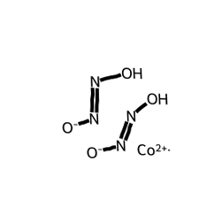 [Co+2].[O-]N=NO.[O-]N=NO